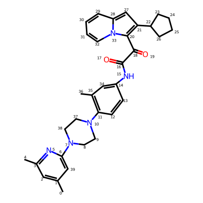 Cc1cc(C)nc(N2CCN(c3ccc(NC(=O)C(=O)c4c(C5CCCC5)cc5ccccn45)cc3C)CC2)c1